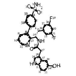 NS(=O)(=O)c1ccc(-c2cccnc2[C@H](Cc2cc(F)cc(F)c2)NC(=O)Cc2c[nH]c3ccc(O)cc23)cc1